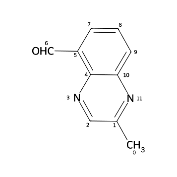 Cc1cnc2c(C=O)cccc2n1